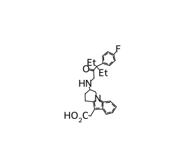 CCC(CC)(C(=O)CN[C@@H]1CCc2c(CC(=O)O)c3ccccc3n2C1)c1ccc(F)cc1